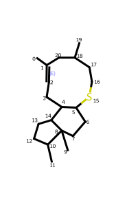 C/C1=C\CC2C(CCC3(C)C(C)CCC23)SCCC(C)C1